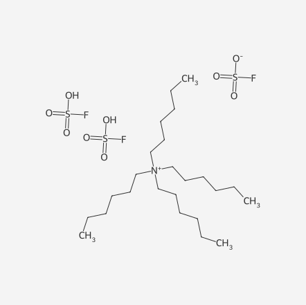 CCCCCC[N+](CCCCCC)(CCCCCC)CCCCCC.O=S(=O)(O)F.O=S(=O)(O)F.O=S(=O)([O-])F